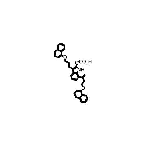 C=C(CCOc1cccc2ccccc12)c1cccc2c(CCCOc3cccc4ccccc34)c(OC(=O)O)[nH]c12